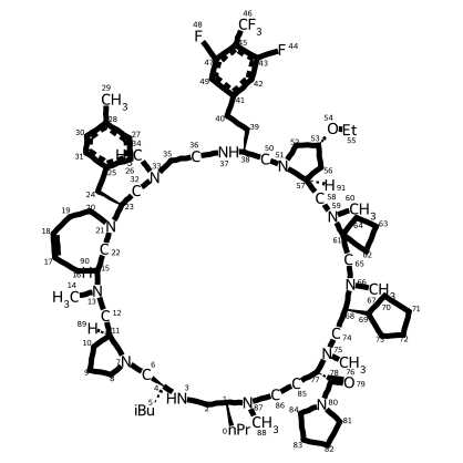 CCC[C@H]1CN[C@@H]([C@@H](C)CC)CN2CCC[C@H]2CN(C)[C@H]2C/C=C\CCN(C2)[C@@H](Cc2ccc(C)cc2)CN(C)CCN[C@@H](CCc2cc(F)c(C(F)(F)F)c(F)c2)CN2C[C@H](OCC)C[C@H]2CN(C)C2(CCC2)CN(C)[C@@H](C2CCCC2)CN(C)[C@H](C(=O)N2CCCC2)CCN1C